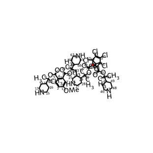 COc1ccc(C(=O)OC(C)(C)C2CCNCC2)c(C(=O)OC(C)(CC2CNCCC2C(C)(C)OC(=O)C2C(C(=O)OC(C)(C)C3CCNCC3)C3(Cl)C(Cl)=C(Cl)C2(Cl)C3(Cl)Cl)C2CCNCC2)c1